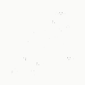 COCCOC(=O)N(Cc1ccc(-c2noc(C(F)(F)F)n2)cc1)OC